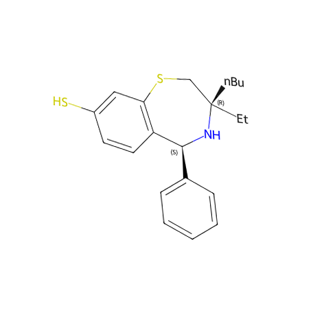 CCCC[C@]1(CC)CSc2cc(S)ccc2[C@H](c2ccccc2)N1